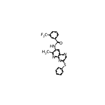 Cc1nc2nc(Sc3ccccc3)cnc2cc1NC(=O)c1cccc(C(F)(F)F)c1